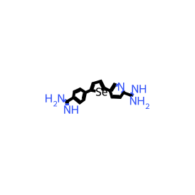 N=C(N)c1ccc(-c2ccc(-c3ccc(C(=N)N)nc3)[se]2)cc1